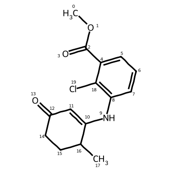 COC(=O)c1cccc(NC2=CC(=O)CCC2C)c1Cl